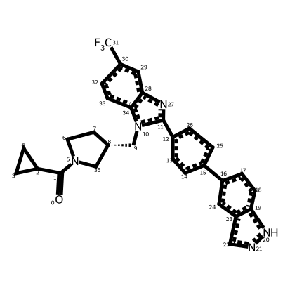 O=C(C1CC1)N1CC[C@H](Cn2c(-c3ccc(-c4ccc5[nH]ncc5c4)cc3)nc3cc(C(F)(F)F)ccc32)C1